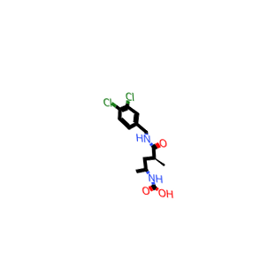 CC(C[C@H](C)C(=O)NCc1ccc(Cl)c(Cl)c1)NC(=O)O